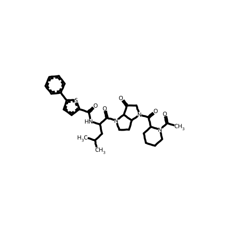 CC(=O)N1CCCCC1C(=O)N1CC(=O)C2C1CCN2C(=O)C(CC(C)C)NC(=O)c1ccc(-c2ccccc2)s1